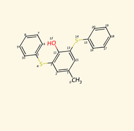 Cc1cc(Sc2ccccc2)c(O)c(Sc2ccccc2)c1